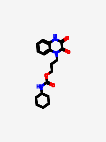 O=C(NC1CCCCC1)OCCCn1c(=O)c(=O)[nH]c2ccccc21